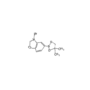 CC(C)N1COc2ccc(B3OCC(C)(C)O3)cc21